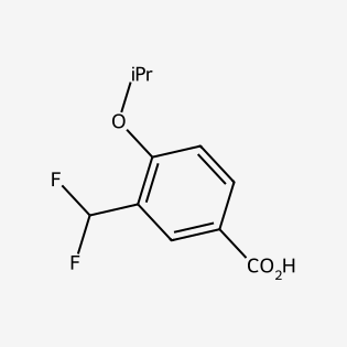 CC(C)Oc1ccc(C(=O)O)cc1C(F)F